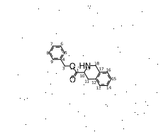 O=C(OCc1ccccc1)C1Cc2ccccc2CN1